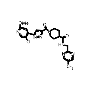 COc1cc(-c2cc(C(=O)N3CCC(C(=O)NCc4ncc(C(F)(F)F)cn4)CC3)n[nH]2)c(Cl)cn1